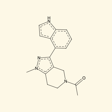 CC(=O)N1CCc2c(c(-c3cccc4[nH]ccc34)nn2C)C1